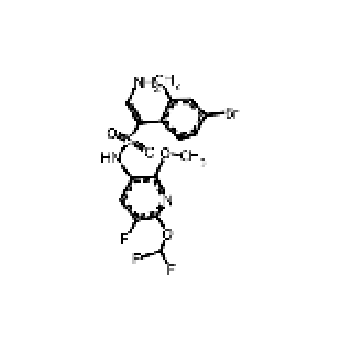 COc1nc(OC(F)F)c(F)cc1NS(=O)(=O)/C(=C/N)c1ccc(Br)cc1C